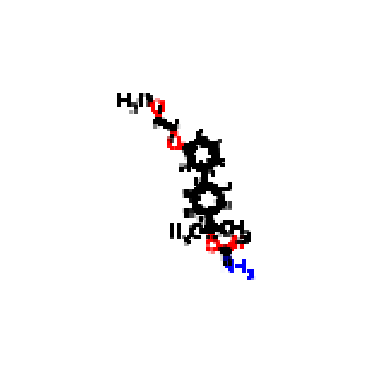 COCCOc1cccc(-c2ccc(C(C)(C)OC(N)=O)cc2)c1